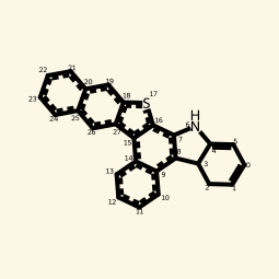 C1=CCC2C(=C1)Nc1c2c2ccccc2c2c1sc1cc3ccccc3cc12